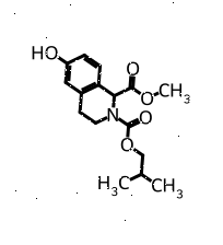 COC(=O)C1c2ccc(O)cc2CCN1C(=O)OCC(C)C